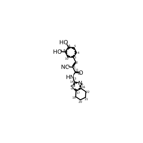 N#C/C(=C\c1ccc(O)c(O)c1)C(=O)Nc1nc2c(s1)CCCC2